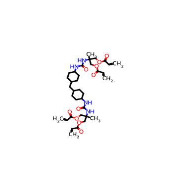 C=CC(=O)OCC(C)(COC(=O)C=C)NC(=O)NC1CCC(CC2CCC(NC(=O)NC(C)(COC(=O)C=C)COC(=O)C=C)CC2)CC1